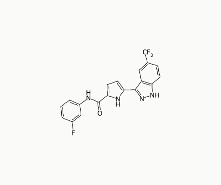 O=C(Nc1cccc(F)c1)c1ccc(-c2n[nH]c3ccc(C(F)(F)F)cc23)[nH]1